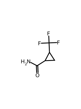 NC(=O)C1CC1C(F)(F)F